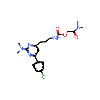 CNC(=O)COC(=O)NCCCc1cc(-c2ccc(Cl)cc2)nc(N(C)C)n1